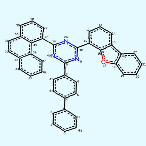 c1ccc(-c2ccc(-c3nc(-c4cccc5c4oc4ccccc45)nc(-c4cccc5ccc6ccccc6c45)n3)cc2)cc1